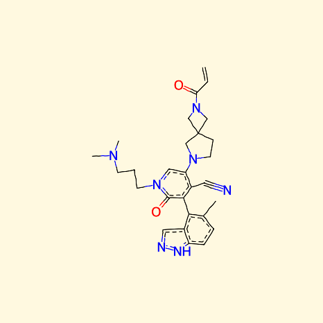 C=CC(=O)N1CC2(CCN(c3cn(CCCN(C)C)c(=O)c(-c4c(C)ccc5[nH]ncc45)c3C#N)C2)C1